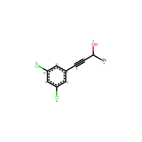 CC(C)C(O)C#Cc1cc(Cl)cc(Cl)c1